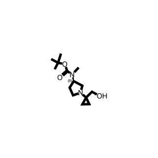 CN(C(=O)OC(C)(C)C)[C@@H]1CCN(C2(CO)CC2)C1